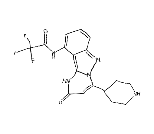 O=C(Nc1cccc2nn3c(C4CCNCC4)cc(=O)[nH]c3c12)C(F)(F)F